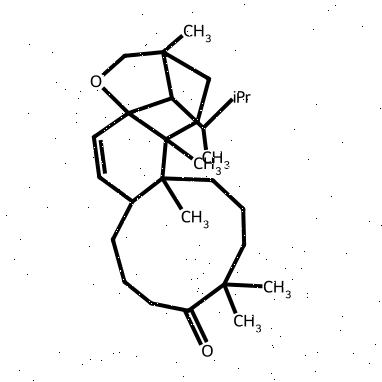 CC(C)C(C)C1C2(C)CCC3(C)C4(C)CCCC(C)(C)C(=O)CCCC4C=CC13OC2